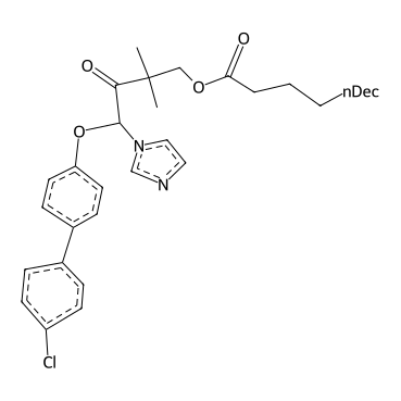 CCCCCCCCCCCCCC(=O)OCC(C)(C)C(=O)C(Oc1ccc(-c2ccc(Cl)cc2)cc1)n1ccnc1